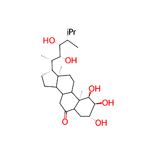 CC(C)[C@H](C)[C@@H](O)[C@H](O)[C@@H](C)[C@H]1CCC2C3CC(=O)C4C[C@@H](O)[C@H](O)[C@H](O)[C@]4(C)C3CC[C@@]21C